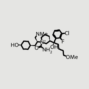 CNC[C@H](C[C@H]1CC[C@@H](O)CC1)[N+]1(C(N)=O)CCC[C@@H]([C@@](O)(CCCCOC)c2cccc(Cl)c2F)C1